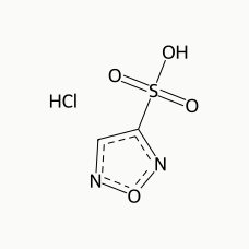 Cl.O=S(=O)(O)c1cnon1